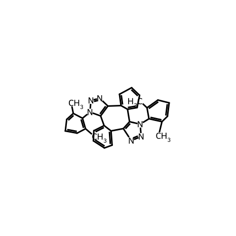 Cc1cccc(C)c1-n1nnc2c1-c1ccccc1-c1nnn(-c3c(C)cccc3C)c1-c1ccccc1-2